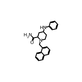 NC(=O)C1CC(Nc2ccccc2)CCN1Cc1cccc2ccccc12